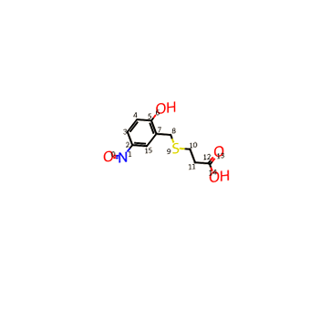 O=Nc1ccc(O)c(CSCCC(=O)O)c1